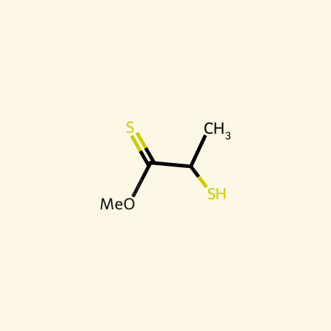 COC(=S)C(C)S